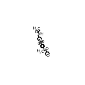 C=CC(=O)NCC1CCN(S(=O)(=O)c2ccc(N(C)C(=O)C3CCOCC3)cc2)CC1